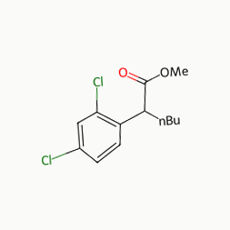 CCCCC(C(=O)OC)c1ccc(Cl)cc1Cl